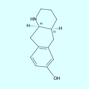 Oc1ccc2c(c1)C[C@@H]1CCCN[C@@H]1C2